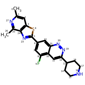 Cc1cc2sc(-c3cc(F)c4cc(C5CCNCC5)nnc4c3)nc2c(C)n1